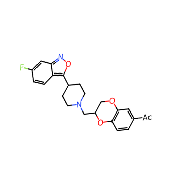 CC(=O)c1ccc2c(c1)OCC(CN1CCC(c3onc4cc(F)ccc34)CC1)O2